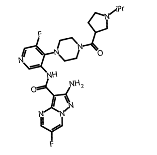 CC(C)N1CCC(C(=O)N2CCN(c3c(F)cncc3NC(=O)c3c(N)nn4cc(F)cnc34)CC2)C1